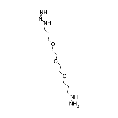 N=NNCCCOCCOCCOCCCNN